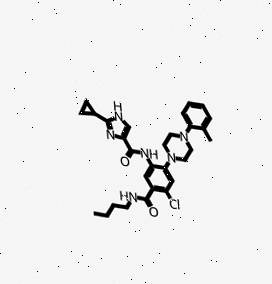 CCCCNC(=O)c1cc(NC(=O)c2c[nH]c(C3CC3)n2)c(N2CCN(c3ccccc3C)CC2)cc1Cl